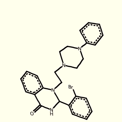 O=C1NC(c2ccccc2Br)N(CCN2CCN(c3ccccc3)CC2)c2ccccc21